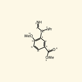 CCCN(C=N)c1cc(C(=O)OC)ccc1OC